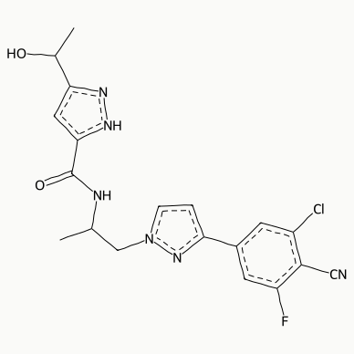 CC(Cn1ccc(-c2cc(F)c(C#N)c(Cl)c2)n1)NC(=O)c1cc(C(C)O)n[nH]1